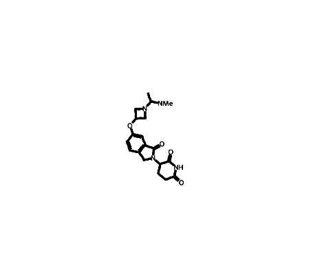 CNC(C)N1CC(Oc2ccc3c(c2)C(=O)N(C2CCC(=O)NC2=O)C3)C1